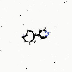 C1=C/CCC(c2ccncc2)CCC/1